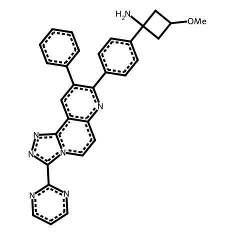 COC1CC(N)(c2ccc(-c3nc4ccn5c(-c6ncccn6)nnc5c4cc3-c3ccccc3)cc2)C1